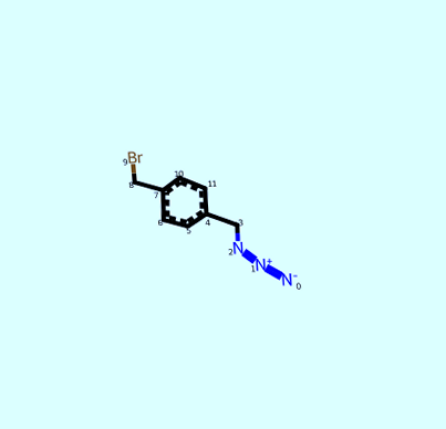 [N-]=[N+]=NCc1ccc(CBr)cc1